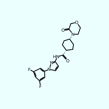 O=C1COCCN1[C@H]1CC[C@@H](C(=O)Nc2ccn(-c3cc(F)cc(F)c3)n2)CC1